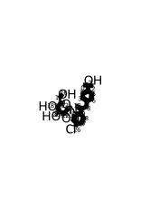 CC(C)(O)c1ccc(Cc2cn([C@@H]3O[C@H](CO)[C@@H](O)[C@H](O)[C@H]3O)c3cc(Cl)ccc23)cc1